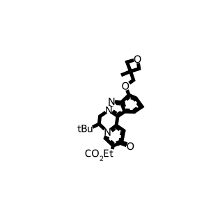 CCOC(=O)c1cn2c(cc1=O)-c1c3cccc(OCC4(C)COC4)c3nn1CC2C(C)(C)C